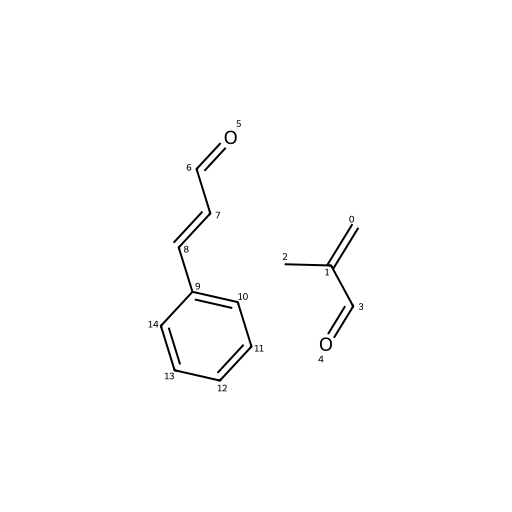 C=C(C)C=O.O=CC=Cc1ccccc1